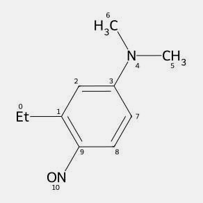 CCc1cc(N(C)C)ccc1N=O